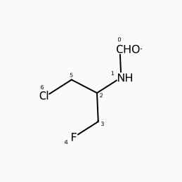 O=[C]NC(CF)CCl